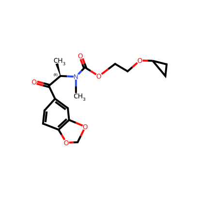 C[C@H](C(=O)c1ccc2c(c1)OCO2)N(C)C(=O)OCCOC1CC1